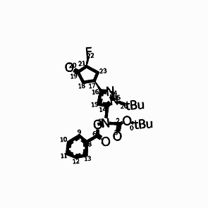 CC(C)(C)OC(=O)N(OC(=O)c1ccccc1)c1cc([C@H]2CC(=O)[C@@H](F)C2)nn1C(C)(C)C